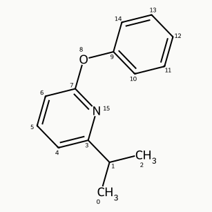 CC(C)c1cccc(Oc2ccccc2)n1